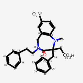 CN1c2ccc([N+](=O)[O-])cc2CN(CCc2ccccc2)C(=O)C1(CC(=O)O)Cc1ccccc1